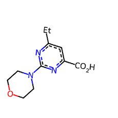 CCc1cc(C(=O)O)nc(N2CCOCC2)n1